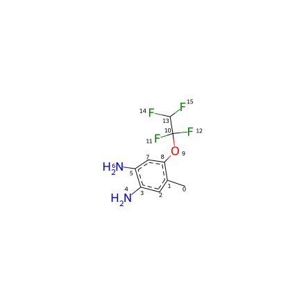 Cc1cc(N)c(N)cc1OC(F)(F)C(F)F